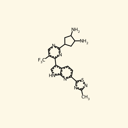 Cc1nsc(-c2ccc3c(-c4nc(C5CC(N)C(N)C5)ncc4C(F)(F)F)c[nH]c3n2)n1